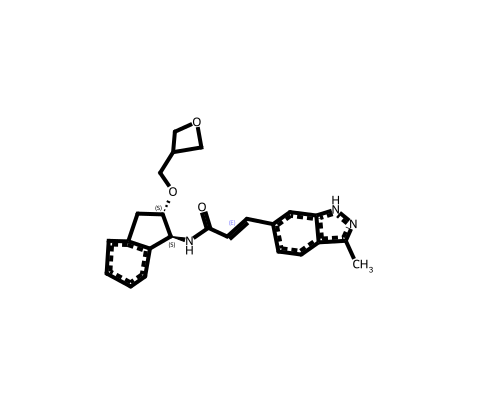 Cc1n[nH]c2cc(/C=C/C(=O)N[C@H]3c4ccccc4C[C@@H]3OCC3COC3)ccc12